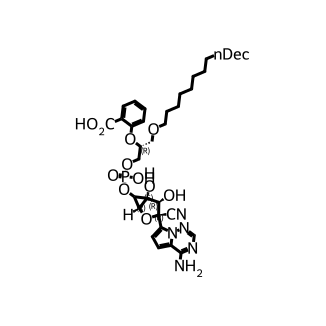 CCCCCCCCCCCCCCCCCCOC[C@H](COP(=O)(O)OC1[C@H]2O[C@@](C#N)(c3ccc4c(N)ncnn34)[C@H](O)[C@@]12O)Oc1ccccc1C(=O)O